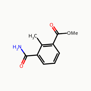 COC(=O)c1cccc(C(N)=O)c1C